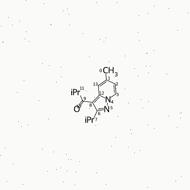 Cc1ccn2nc(C(C)C)c(C(=O)C(C)C)c2c1